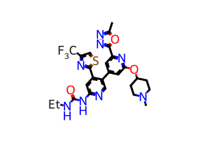 CCNC(=O)Nc1cc(-c2nc(C(F)(F)F)cs2)c(-c2cc(OC3CCN(C)CC3)nc(-c3nnc(C)o3)c2)cn1